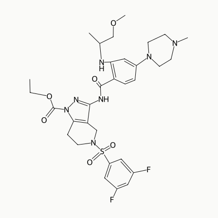 CCOC(=O)n1nc(NC(=O)c2ccc(N3CCN(C)CC3)cc2NC(C)COC)c2c1CCN(S(=O)(=O)c1cc(F)cc(F)c1)C2